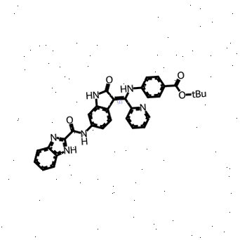 CC(C)(C)OC(=O)c1ccc(N/C(=C2\C(=O)Nc3cc(NC(=O)c4nc5ccccc5[nH]4)ccc32)c2ccccn2)cc1